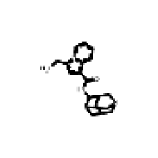 CCc1cc(C(=O)NC2C3CC4CC2CN(C4)C3)c2ccccn12